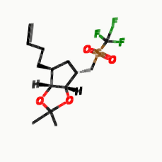 C=CCC[C@H]1C[C@H](CS(=O)(=O)C(F)(F)F)[C@@H]2OC(C)(C)O[C@H]12